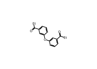 CCC(=O)c1cc[c]c(Oc2[c]ccc(C(=O)CC)c2)c1